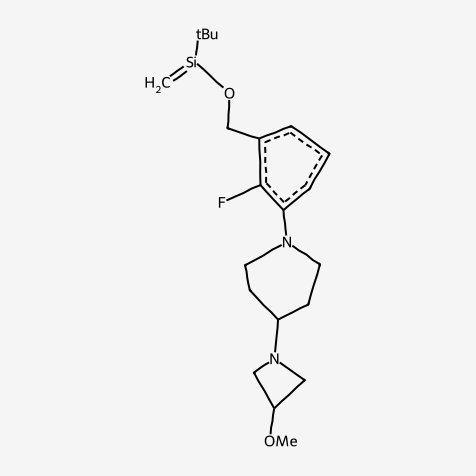 C=[Si](OCc1cccc(N2CCC(N3CC(OC)C3)CC2)c1F)C(C)(C)C